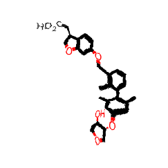 Cc1cc(O[C@@H]2COC[C@H]2O)cc(C)c1-c1cccc(COc2ccc3c(c2)OC[C@H]3CC(=O)O)c1C